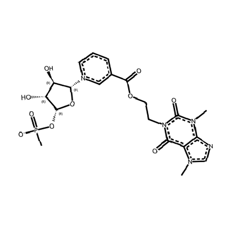 Cn1cnc2c1c(=O)n(CCOC(=O)c1ccc[n+]([C@@H]3O[C@H](OP(C)(=O)[O-])[C@H](O)[C@H]3O)c1)c(=O)n2C